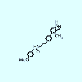 COc1ccc(CC(=O)NCCCc2ccc(-c3ccc4[nH]ncc4c3C)cc2)cc1